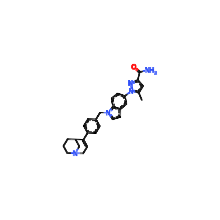 Cc1cc(C(N)=O)nn1-c1ccc2c(ccn2Cc2ccc(C3=CCN4CCCC3C4)cc2)c1